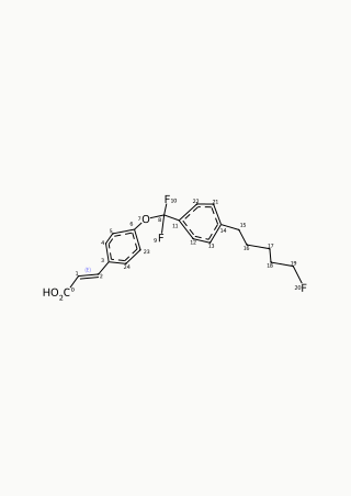 O=C(O)/C=C/c1ccc(OC(F)(F)c2ccc(CCCCCF)cc2)cc1